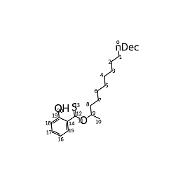 CCCCCCCCCCCCCCCCCCC(C)OC(=S)c1ccccc1O